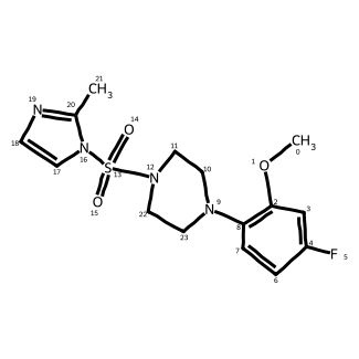 COc1cc(F)ccc1N1CCN(S(=O)(=O)n2ccnc2C)CC1